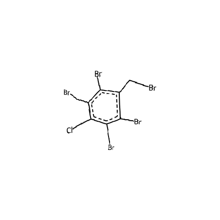 Clc1c(Br)c(Br)c(CBr)c(Br)c1Br